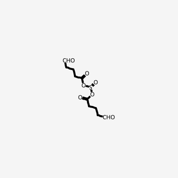 O=CCCCC(=O)OS(=O)OC(=O)CCCC=O